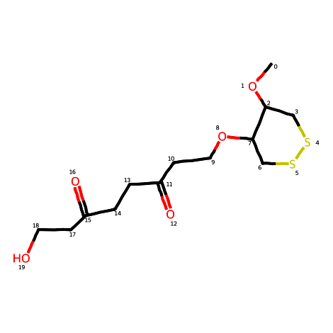 COC1CSSCC1OCCC(=O)CCC(=O)CCO